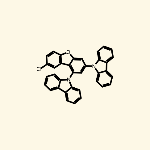 Clc1ccc2oc3cc(-n4c5ccccc5c5ccccc54)cc(-n4c5ccccc5c5ccccc54)c3c2c1